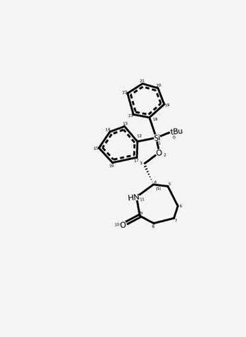 CC(C)(C)[Si](OC[C@@H]1CCCCC(=O)N1)(c1ccccc1)c1ccccc1